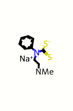 CNCCN(C(=S)[S-])c1ccccc1.[Na+]